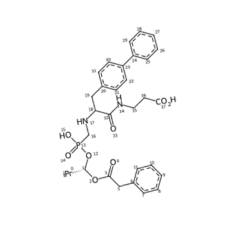 CC(C)[C@@H](OC(=O)Cc1ccccc1)OP(=O)(O)CNC(Cc1ccc(-c2ccccc2)cc1)C(=O)NCCC(=O)O